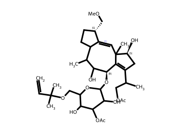 C=CC(C)(C)OCC1OC(O[C@@H]2C3=C(C(C)COC(C)=O)C[C@H](O)C3(C)/C=C3\C(CC[C@@H]3COC)C(C)C2O)C(O)C(OC(C)=O)C1O